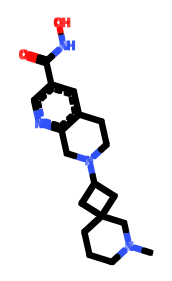 CN1CCCC2(CC(N3CCc4cc(C(=O)NO)cnc4C3)C2)C1